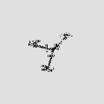 CNC(COCCC(=O)NCCOCCOCCO[C@H]1OC(CO)[C@@H](O)[C@H](O)C1O)(COCCC(=O)NCCOCCOCCO[C@H]1OC(CO)[C@@H](O)[C@H](O)C1O)COCCC(=O)NCCOCCOCCO[C@H]1OC(CO)[C@@H](O)[C@H](O)C1O